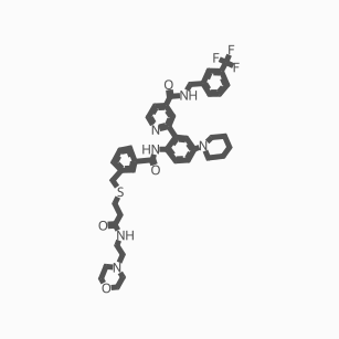 O=C(CCSCc1cccc(C(=O)Nc2ccc(N3CCCCC3)cc2-c2cc(C(=O)NCc3cccc(C(F)(F)F)c3)ccn2)c1)NCCN1CCOCC1